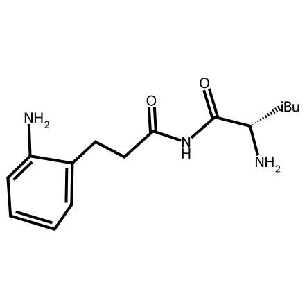 CCC(C)[C@H](N)C(=O)NC(=O)CCc1ccccc1N